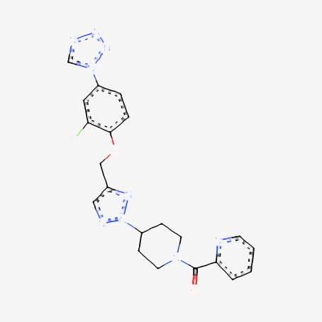 O=C(c1ccccn1)N1CCC(n2ncc(COc3ccc(-n4cnnn4)cc3F)n2)CC1